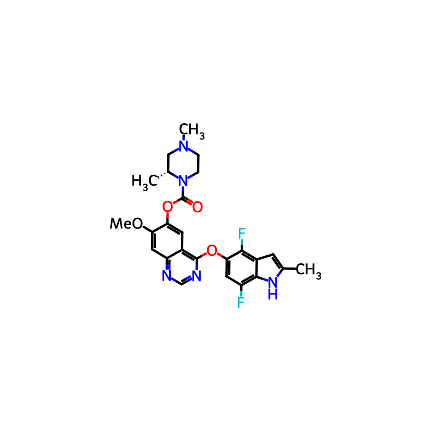 COc1cc2ncnc(Oc3cc(F)c4[nH]c(C)cc4c3F)c2cc1OC(=O)N1CCN(C)C[C@H]1C